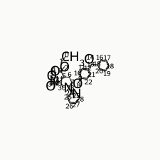 CCOC(=O)C1CC(Oc2ccc(C(=O)c3ccccc3)cc2)N(c2ccccn2)CC1[N+](=O)[O-]